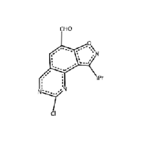 CC(C)c1noc2c(C=O)cc3cnc(Cl)nc3c12